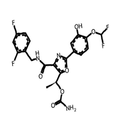 C[C@H](OC(N)=O)c1oc(-c2ccc(OC(F)F)c(O)c2)nc1C(=O)NCc1ccc(F)cc1F